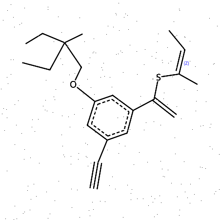 C#Cc1cc(OCC(C)(CC)CC)cc(C(=C)S/C(C)=C\C)c1